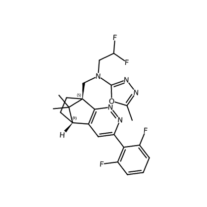 Cc1nnc(N(CC(F)F)C[C@@]23CC[C@@H](c4cc(-c5c(F)cccc5F)nnc42)C3(C)C)o1